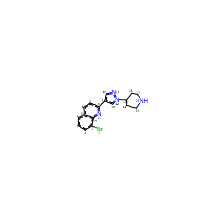 Brc1cccc2ccc(-c3cnn(C4CCNCC4)c3)nc12